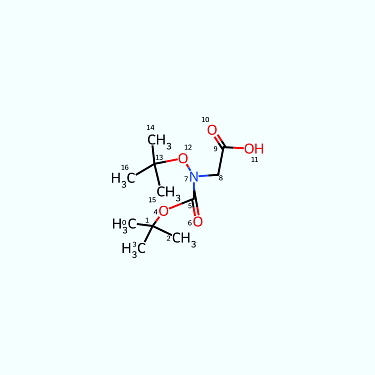 CC(C)(C)OC(=O)N(CC(=O)O)OC(C)(C)C